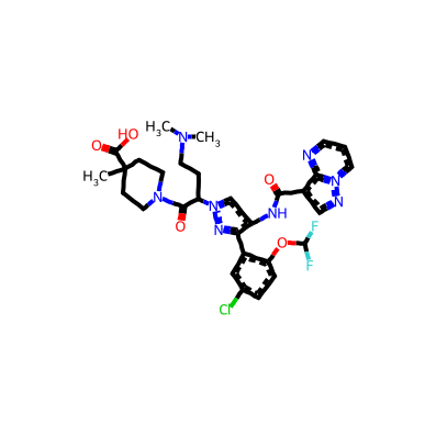 CN(C)CCC(C(=O)N1CCC(C)(C(=O)O)CC1)n1cc(NC(=O)c2cnn3cccnc23)c(-c2cc(Cl)ccc2OC(F)F)n1